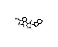 NCC(C(=O)Nc1ccc2cnccc2c1)c1cccc2c1C(=O)NOB2O